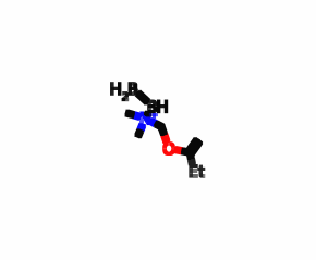 BB[N+](C)(C)COC(=C)CC